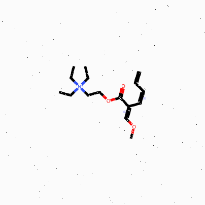 C=C/C=C\C(=C/OC)C(=O)OCC[N+](CC)(CC)CC